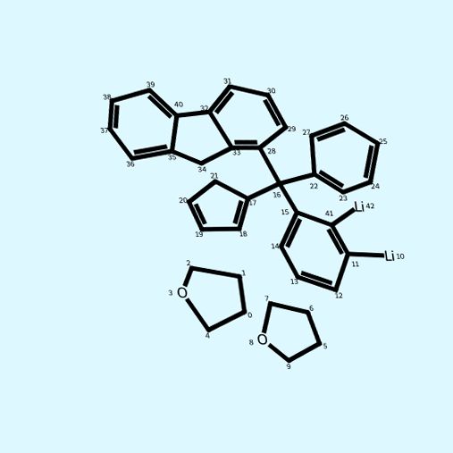 C1CCOC1.C1CCOC1.[Li][c]1cccc(C(C2=CC=CC2)(c2ccccc2)c2cccc3c2Cc2ccccc2-3)[c]1[Li]